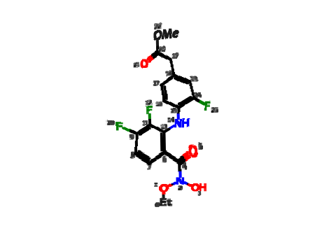 CCON(O)C(=O)c1ccc(F)c(F)c1Nc1ccc(CC(=O)OC)cc1F